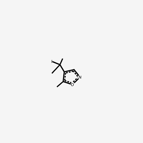 Cc1oncc1C(C)(C)I